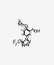 OCc1cc(-n2nnnc2C(F)(F)F)ccc1OC1CC1